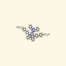 O=C(O)c1ccc(-c2ccc(N3c4ccccc4B4c5ccccc5N(c5ccc(-c6ccc(C(=O)O)cc6)cc5)c5cc(-c6nc(-c7ccccc7)nc(-c7ccccc7)n6)cc3c54)cc2)cc1